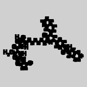 CC(NC(=O)C(NC(=O)CN1C(=O)C=CC1=O)C(C)C)C(=O)NCCCCCCN1N=C(c2ccc(NC(=O)N3Cc4ccncc4C3)cc2)CC(c2ccc3cccnc3c2)C1=O